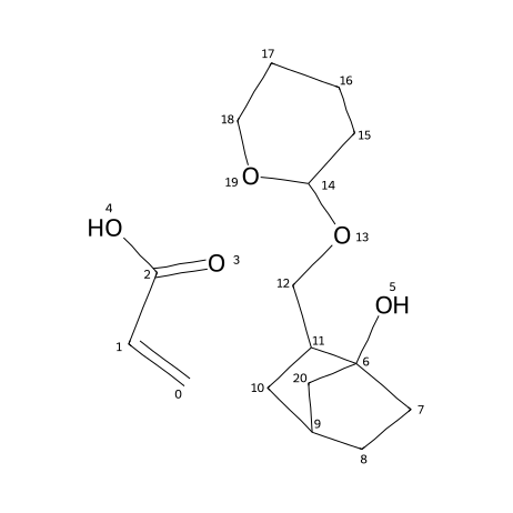 C=CC(=O)O.OC12CCC(CC1COC1CCCCO1)C2